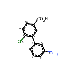 Nc1cccc(-c2cc(C(=O)O)ccc2Cl)c1